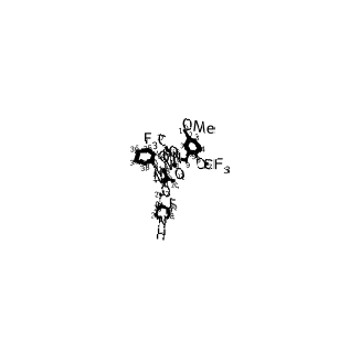 COCc1ccc(OC(F)(F)F)c(CNC(=O)N(OC(=O)C(F)(F)F)c2c(C)c(OC[C@H]3CCNC[C@H]3F)nn2-c2ccccc2)c1